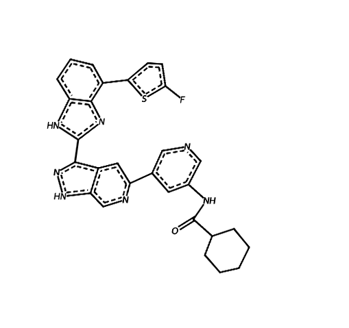 O=C(Nc1cncc(-c2cc3c(-c4nc5c(-c6ccc(F)s6)cccc5[nH]4)n[nH]c3cn2)c1)C1CCCCC1